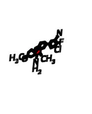 COC1CCC2(CC1)Cc1ccc(-c3cc(Cl)c(F)c(C#N)c3)cc1[C@@]21N=C(C)C(N)=N1